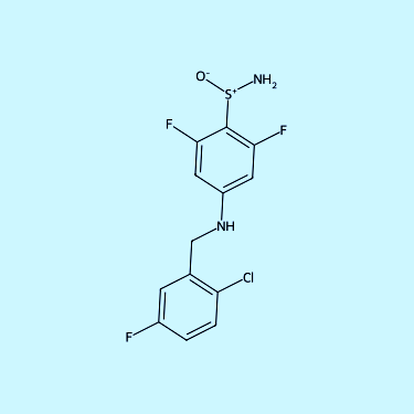 N[S+]([O-])c1c(F)cc(NCc2cc(F)ccc2Cl)cc1F